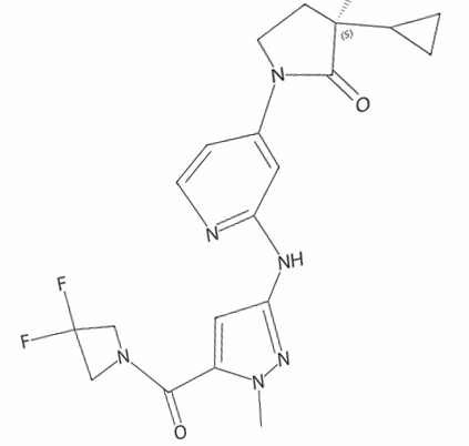 Cn1nc(Nc2cc(N3CC[C@@](C#N)(C4CC4)C3=O)ccn2)cc1C(=O)N1CC(F)(F)C1